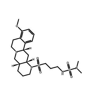 COc1cccc2c1CCN1C[C@H]3CCCN(S(=O)(=O)CCCNS(=O)(=O)N(C)C)[C@H]3C[C@@H]21